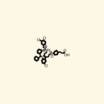 O=C(O)CCc1ccc(S(=O)(=O)CCc2c(CCNS(=O)(=O)Cc3ccc(Cl)c(Cl)c3)n(C(c3ccccc3)c3ccccc3)c3ccc(Cl)cc23)cc1